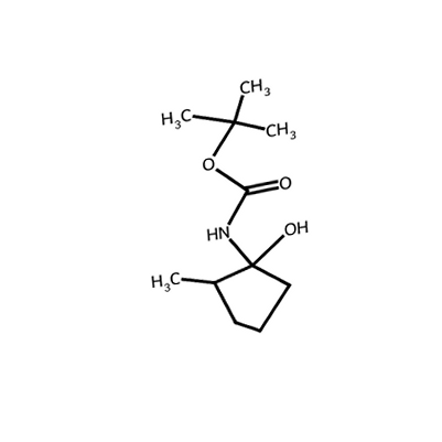 CC1CCCC1(O)NC(=O)OC(C)(C)C